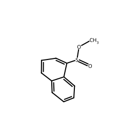 COS(=O)c1cccc2ccccc12